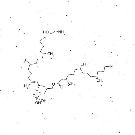 C/C(=C\C(=O)OCC(COP(=O)(O)O)OC(=O)/C=C(\C)CCCC(C)CCCC(C)CCCC(C)C)CCCC(C)CCCC(C)CCCC(C)C.NCCO